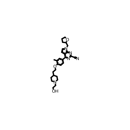 Cc1cc(-c2nc(C#N)nc3c2ccn3CC2CCCO2)ccc1OCCC1CCN(CCO)CC1